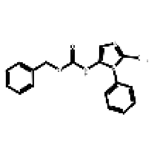 Cc1ncc(NC(=O)OCc2ccccc2)n1-c1ccccc1